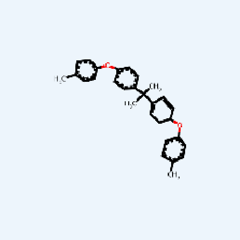 Cc1ccc(Oc2ccc(C(C)(C)C3=CCC(Oc4ccc(C)cc4)C=C3)cc2)cc1